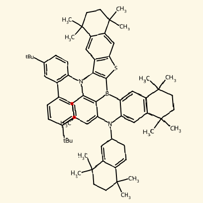 Cc1cc2c3c(c1)N(C1C=C4C(=CC1)C(C)(C)CCC4(C)C)c1cc4c(cc1B3c1sc3cc5c(cc3c1N2c1ccc(C(C)(C)C)cc1-c1ccc(C(C)(C)C)cc1)C(C)(C)CCC5(C)C)C(C)(C)CCC4(C)C